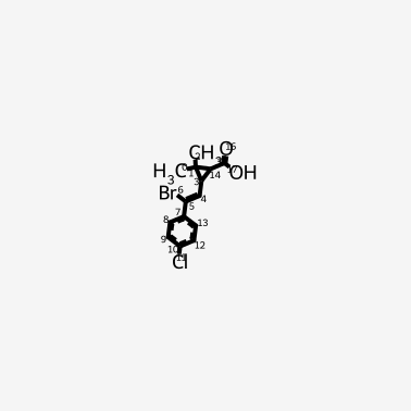 CC1(C)C(/C=C(\Br)c2ccc(Cl)cc2)C1C(=O)O